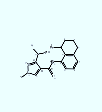 CC(C)C1CCCc2cccc(NC(=O)c3cn(C)nc3C(F)F)c21